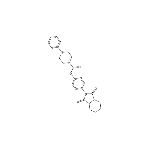 O=C(Oc1ccc(N2C(=O)C3CCCCC3C2=O)cn1)N1CCN(c2ccccn2)CC1